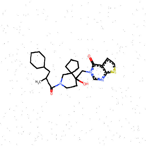 CC(CC1CCCCC1)C(=O)N1CCC(O)(Cn2cnc3sccc3c2=O)C2(CCCC2)C1